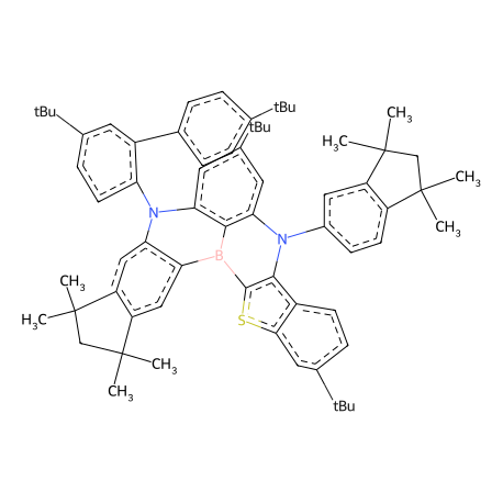 CC(C)(C)c1ccc(-c2cc(C(C)(C)C)ccc2N2c3cc4c(cc3B3c5sc6cc(C(C)(C)C)ccc6c5N(c5ccc6c(c5)C(C)(C)CC6(C)C)c5cc(C(C)(C)C)cc2c53)C(C)(C)CC4(C)C)cc1